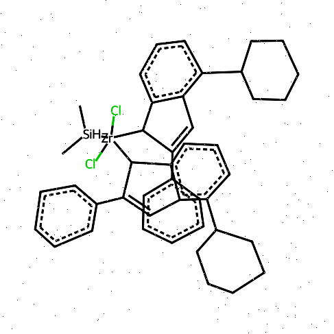 C[SiH](C)[Zr]([Cl])([Cl])([CH]1C(c2ccccc2)=Cc2c(C3CCCCC3)cccc21)[CH]1C(c2ccccc2)=Cc2c(C3CCCCC3)cccc21